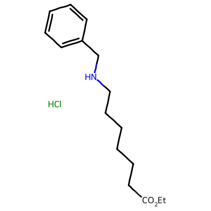 CCOC(=O)CCCCCCNCc1ccccc1.Cl